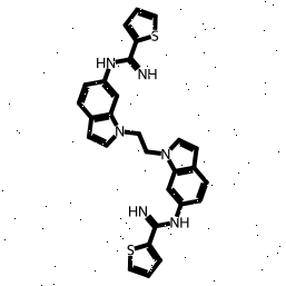 N=C(Nc1ccc2ccn(CCn3ccc4ccc(NC(=N)c5cccs5)cc43)c2c1)c1cccs1